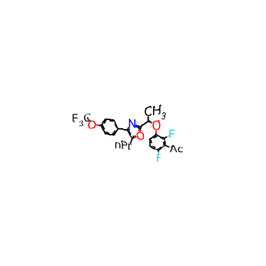 CCCc1oc(C(C)Oc2ccc(F)c(C(C)=O)c2F)nc1-c1ccc(OC(F)(F)F)cc1